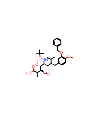 COc1ccc(C[C@@H](C[C@H](NOC(C)(C)C)[C@@H](O)C(=C=O)[C@@H](C)C(=O)O)C(C)C)cc1OCc1ccccc1